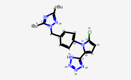 CCCCc1nc(C(C)CC)n(Cc2ccc(-n3c(Cl)ccc3-c3nnn[nH]3)cc2)n1